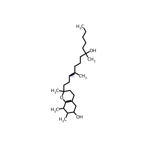 CCCCCC(C)(O)CCC/C(C)=C/CCC1(C)CCC2=C(O1)C(C)C(C)C(O)C2